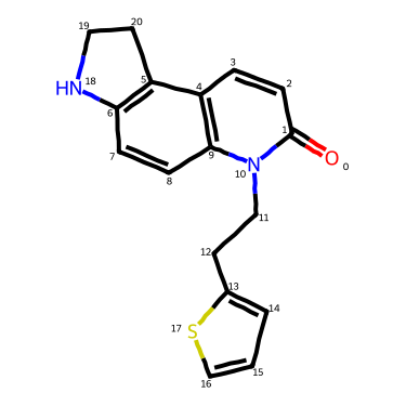 O=c1ccc2c3c(ccc2n1CCc1cccs1)NCC3